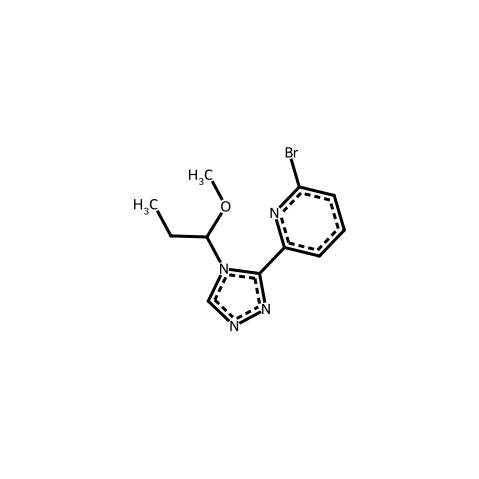 CCC(OC)n1cnnc1-c1cccc(Br)n1